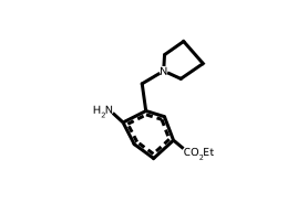 CCOC(=O)c1ccc(N)c(CN2CCCC2)c1